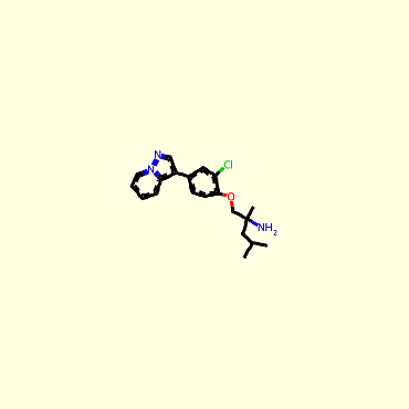 CC(C)CC(C)(N)COc1ccc(-c2cnn3ccccc23)cc1Cl